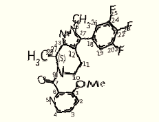 COc1cccnc1C(=O)N1CCc2c(nn(C)c2-c2cc(F)c(F)c(F)c2)[C@@H]1C